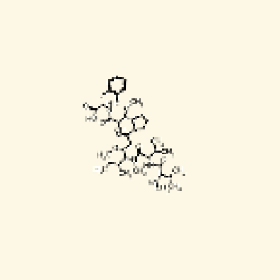 CCC(C)C(C(CC(=O)N1CCC[C@H]1C(OC)C(C)C(=O)N[C@@H](Cc1ccccc1F)C(=O)O)OC)N(C)C(=O)[C@@H](NC(=O)C(NC)C(C)C)C(C)C